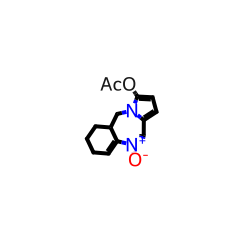 CC(=O)Oc1ccc2n1CC1CCCC=C1[N+]([O-])=C2